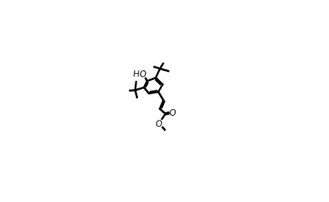 COC(=O)/C=C/c1cc(C(C)(C)C)c(O)c(C(C)(C)C)c1